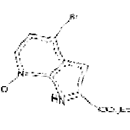 CCOC(=O)c1cc2c(Br)cc[n+]([O-])c2[nH]1